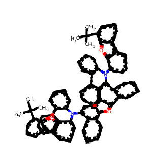 CC(C)(C)c1cccc2c1oc1c(N(c3ccccc3-c3ccccc3)c3cc4c5cc(N(c6ccccc6C6CCCCC6)c6cccc7c6oc6c(C(C)(C)C)cccc67)c6ccccc6c5oc4c4ccccc34)cccc12